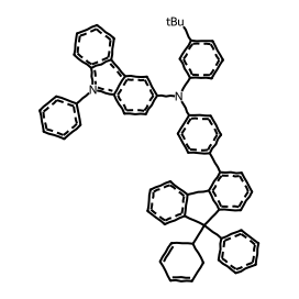 CC(C)(C)c1cccc(N(c2ccc(-c3cccc4c3-c3ccccc3C4(c3ccccc3)C3C=CC=CC3)cc2)c2ccc3c(c2)c2ccccc2n3-c2ccccc2)c1